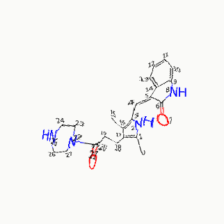 Cc1[nH]c(C=C2C(=O)Nc3ccccc32)c(C)c1CCC(=O)N1CCNCC1